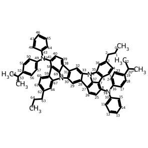 CCCc1ccc2c3c(N(c4ccccc4)c4ccc(C(C)C)cc4)ccc4c5cc6c(cc5n(c2c1)c43)c1ccc(N(c2ccccc2)c2ccc(C(C)C)cc2)c2c3ccc(CCC)cc3n6c12